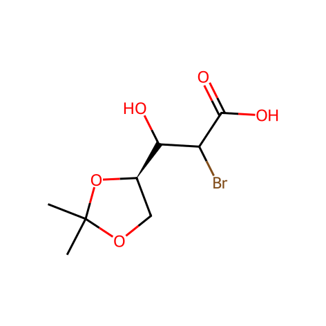 CC1(C)OC[C@H](C(O)C(Br)C(=O)O)O1